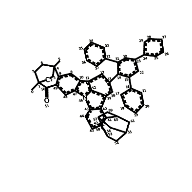 CC12CCC(C)(CC1)c1cc3c4cc(-c5c(-c6ccccc6)cc(-c6ccccc6)cc5-c5ccccc5)cc5c6c7c(ccc6n(c3cc1C2=O)c45)C1CC2CC(C1)CC7C2